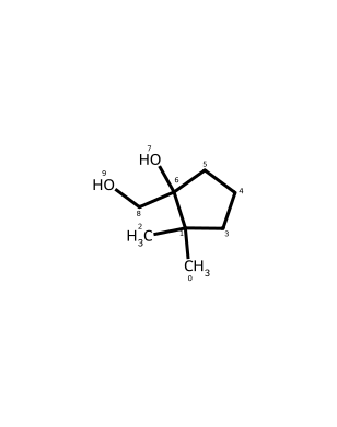 CC1(C)CCCC1(O)CO